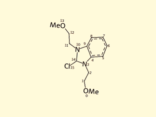 COCCN1c2ccccc2N(CCOC)C1Cl